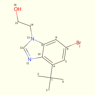 CC(C)(C)c1cc(Br)cc2c1ncn2CCO